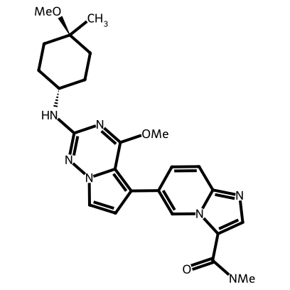 CNC(=O)c1cnc2ccc(-c3ccn4nc(N[C@H]5CC[C@](C)(OC)CC5)nc(OC)c34)cn12